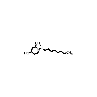 CCCCCCCCON1CCC(O)CC1C